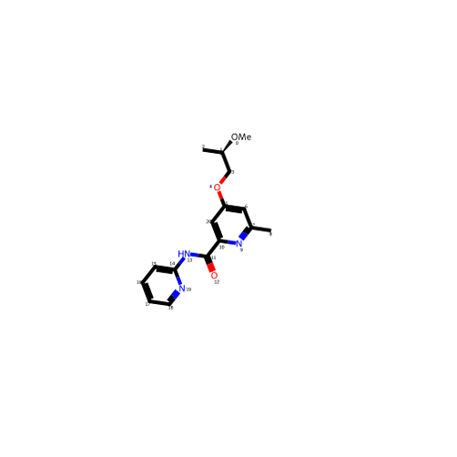 CO[C@H](C)COc1cc(C)nc(C(=O)Nc2ccccn2)c1